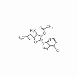 CC(=O)OC1[C@H](n2cnc3c(Cl)ncnc32)O[C@]2(C[C@@H](C)C2)[C@H]1C